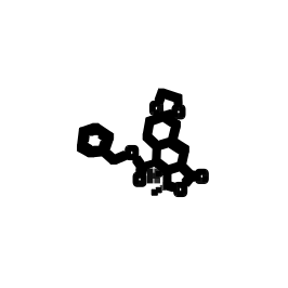 C[C@H]1OC(=O)C2C=C3CC4(CCC3[C@H](C(=O)OCc3ccccc3)[C@@H]21)OCCO4